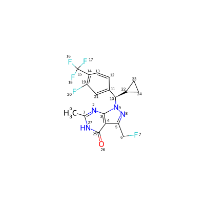 Cc1nc2c(c(CF)nn2[C@@H](c2ccc(C(F)(F)F)c(F)c2)C2CC2)c(=O)[nH]1